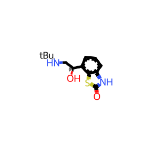 CC(C)(C)NC[C@H](O)c1cccc2[nH]c(=O)sc12